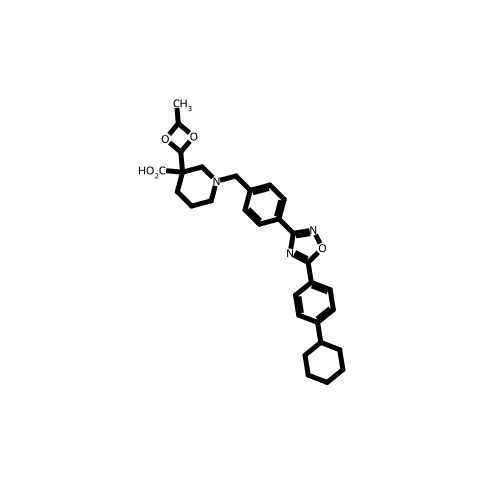 CC1OC(C2(C(=O)O)CCCN(Cc3ccc(-c4noc(-c5ccc(C6CCCCC6)cc5)n4)cc3)C2)O1